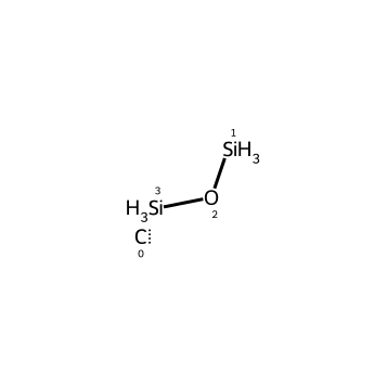 [C].[SiH3]O[SiH3]